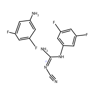 N#C/N=C(/N)Nc1cc(F)cc(F)c1.Nc1cc(F)cc(F)c1